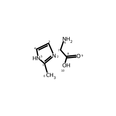 Cc1ncc[nH]1.NCC(=O)O